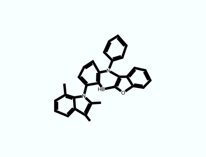 Cc1c(C)n(-c2cccc3c2Bc2oc4ccccc4c2N3c2ccccc2)c2c(C)cccc12